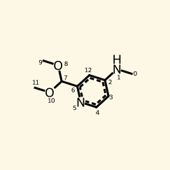 CNc1ccnc(C(OC)OC)c1